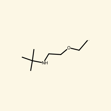 [CH2]COCCNC(C)(C)C